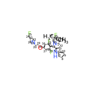 C[C@@H]1Cc2c([nH]c3ccccc23)[C@@H](c2c(F)cc(OCCN3CC(CF)C3)cc2F)N1CC(C)(C)F